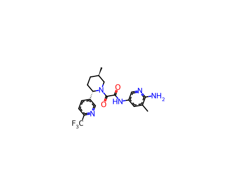 Cc1cc(NC(=O)C(=O)N2C[C@H](C)CC[C@H]2c2ccc(C(F)(F)F)nc2)cnc1N